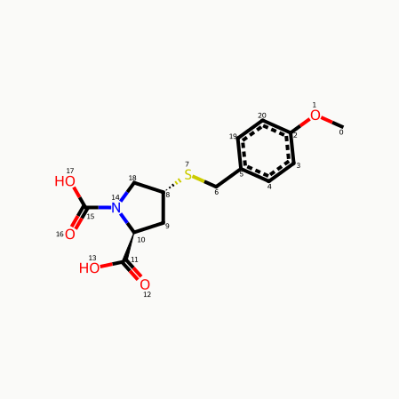 COc1ccc(CS[C@@H]2C[C@@H](C(=O)O)N(C(=O)O)C2)cc1